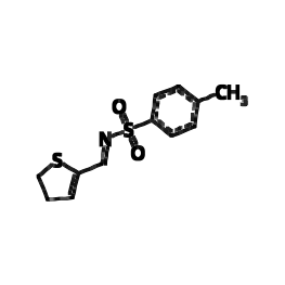 Cc1ccc(S(=O)(=O)/N=C/C2=CCCS2)cc1